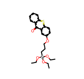 CCO[Si](CCCOc1ccc2sc3ccccc3c(=O)c2c1)(OCC)OCC